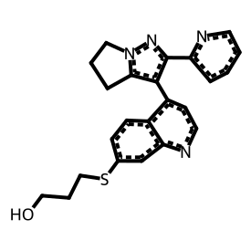 OCCCSc1ccc2c(-c3c(-c4ccccn4)nn4c3CCC4)ccnc2c1